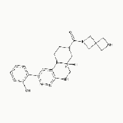 O=C(N1CCN2c3cc(-c4ccccc4O)nnc3NC[C@H]2C1)N1CC2(CNC2)C1